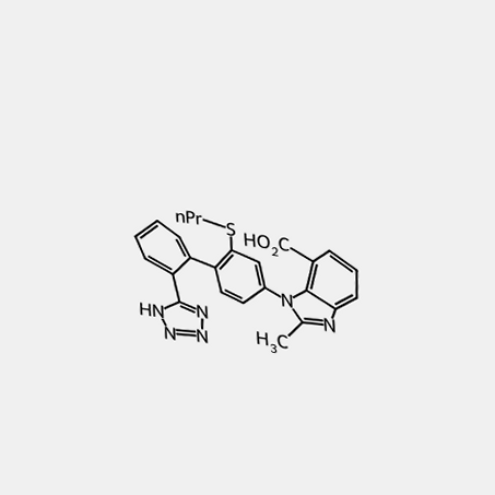 CCCSc1cc(-n2c(C)nc3cccc(C(=O)O)c32)ccc1-c1ccccc1-c1nnn[nH]1